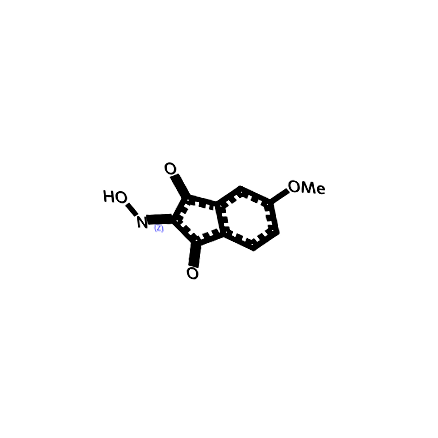 COc1ccc2c(=O)/c(=N/O)c(=O)c2c1